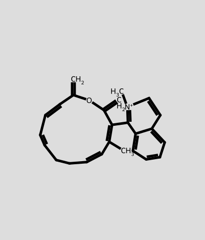 C=C1/C=C\C=C/CC/C=C\C(C)=C(\c2c3ccccc3cc[n+]2C)C(=C)O1